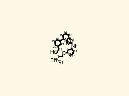 CCN(CC)CCOc1cc(Nc2nc3cccc(-c4cccc(CO)c4)n3n2)ccn1